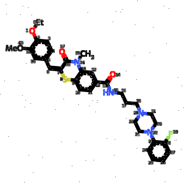 CCOc1ccc(C=C2Sc3ccc(C(=O)NCCCN4CCN(c5ccccc5F)CC4)cc3N(C)C2=O)cc1OC